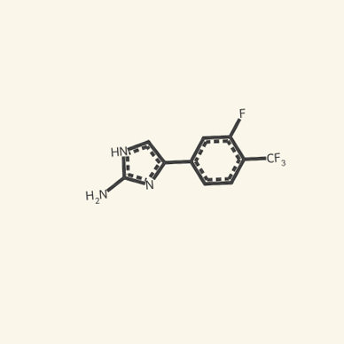 Nc1nc(-c2ccc(C(F)(F)F)c(F)c2)c[nH]1